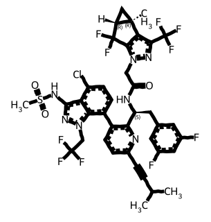 CC(C)C#Cc1ccc(-c2ccc(Cl)c3c(NS(C)(=O)=O)nn(CC(F)(F)F)c23)c([C@H](Cc2cc(F)cc(F)c2)NC(=O)Cn2nc(C(F)(F)F)c3c2C(F)(F)[C@@H]2C[C@@]32C)n1